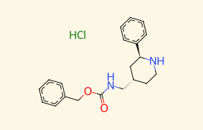 Cl.O=C(NC[C@H]1CCN[C@H](c2ccccc2)C1)OCc1ccccc1